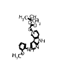 COc1ccccc1Nc1cnc2[nH]c3c(c2c1)CN(OC(=O)OC(C)(C)C)CC3